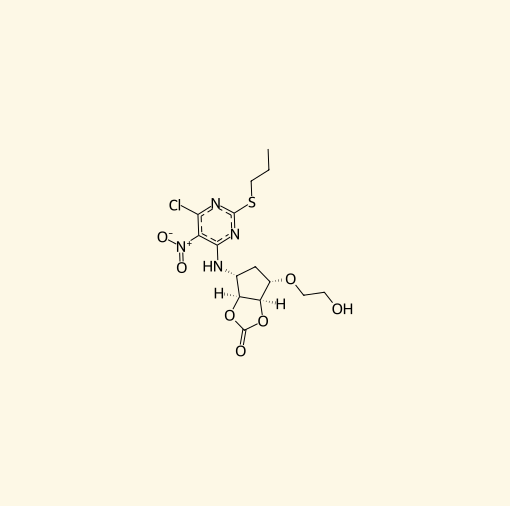 CCCSc1nc(Cl)c([N+](=O)[O-])c(N[C@@H]2C[C@H](OCCO)[C@H]3OC(=O)O[C@H]32)n1